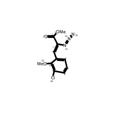 COC(=O)/C(=C/c1cccc(Cl)c1OC)N=[N+]=[N-]